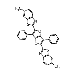 FC(F)(F)c1ccc2nc(-c3oc4c(-c5ccccc5)c(-c5nc6ccc(C(F)(F)F)cc6s5)oc4c3-c3ccccc3)sc2c1